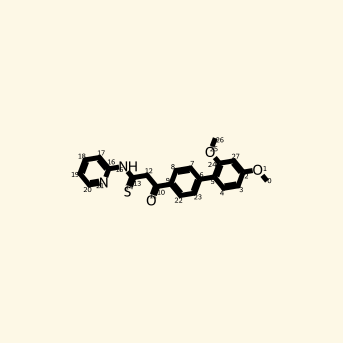 COc1ccc(-c2ccc(C(=O)CC(=S)Nc3ccccn3)cc2)c(OC)c1